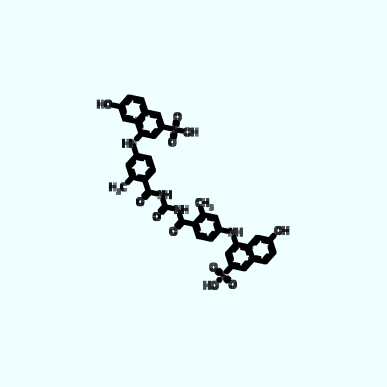 Cc1cc(Nc2cc(S(=O)(=O)O)cc3ccc(O)cc23)ccc1C(=O)NC(=O)NC(=O)c1ccc(Nc2cc(S(=O)(=O)O)cc3ccc(O)cc23)cc1C